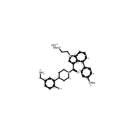 COCCn1cc(C(=O)N2CCC(c3cc(CN)ccc3F)CC2)c2c(-c3ccc(OC)cc3)cccc21.Cl